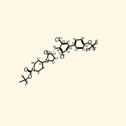 CC(C)(C)OC(=O)N1CCC(N2CC[C@@H](Cc3c(Cl)cc(-c4ccc(OC(F)(F)F)cc4)cc3Cl)C2=O)CC1